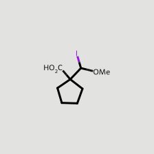 COC(I)C1(C(=O)O)CCCC1